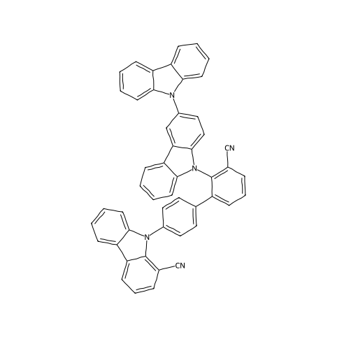 N#Cc1cccc(-c2ccc(-n3c4ccccc4c4cccc(C#N)c43)cc2)c1-n1c2ccccc2c2cc(-n3c4ccccc4c4ccccc43)ccc21